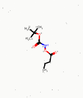 CCCC(=O)ONC(=O)OC(C)(C)C